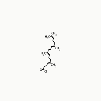 CC(C)=CCCC(C)=CCCC(C)=CCCC(C)=CCCC(=O)Cl